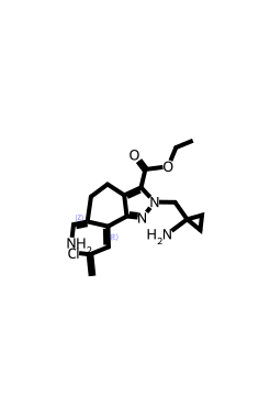 C=C(Cl)/C=C1\C(=C/N)CCc2c1nn(CC1(N)CC1)c2C(=O)OCC